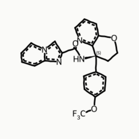 O=C(N[C@]1(c2ccc(OC(F)(F)F)cc2)CCOc2cccnc21)c1cn2ccccc2n1